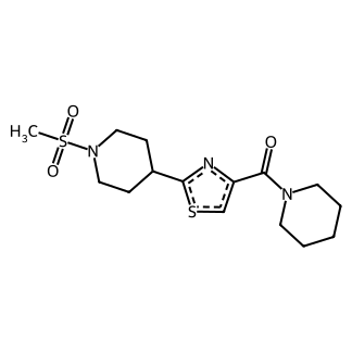 CS(=O)(=O)N1CCC(c2nc(C(=O)N3CCCCC3)cs2)CC1